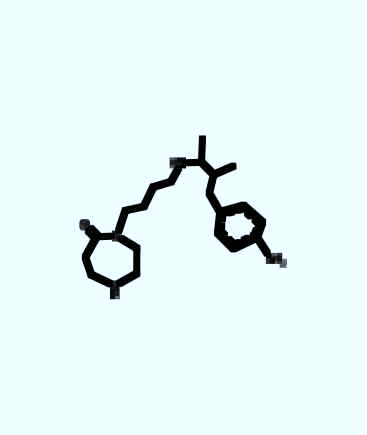 CC(Cc1ccc(N)cc1)C(C)NCCCCN1CCNCCC1=O